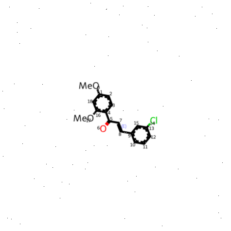 COc1ccc(C(=O)/C=C/c2cccc(Cl)c2)c(OC)c1